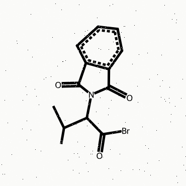 CC(C)C(C(=O)Br)N1C(=O)c2ccccc2C1=O